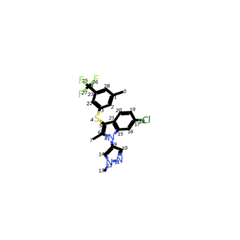 Cc1cc(Sc2c(C)n(-c3cnn(C)c3)c3cc(Cl)ccc23)cc(C(F)(F)F)c1